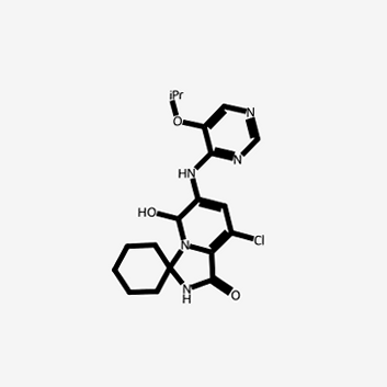 CC(C)Oc1cncnc1NC1=CC(Cl)=C2C(=O)NC3(CCCCC3)N2C1O